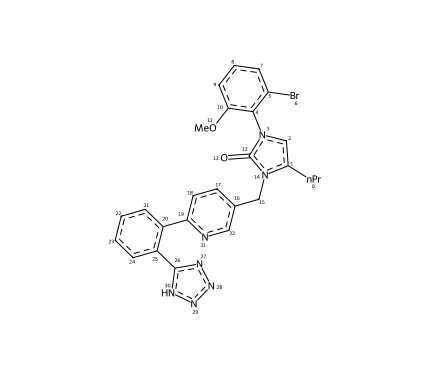 CCCc1cn(-c2c(Br)cccc2OC)c(=O)n1Cc1ccc(-c2ccccc2-c2nnn[nH]2)nc1